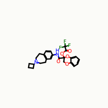 O=C(OC1(C(=O)Nc2ccc3c(c2)CCN(C2CCC2)CC3)COc2ccccc2O1)C(F)(F)F